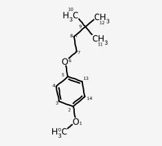 COc1ccc(OC[CH]C(C)(C)C)cc1